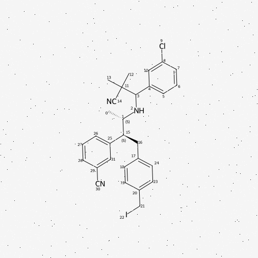 C[C@H](NC(c1cccc(Cl)c1)C(C)(C)C#N)[C@@H](Cc1ccc(CI)cc1)c1cccc(C#N)c1